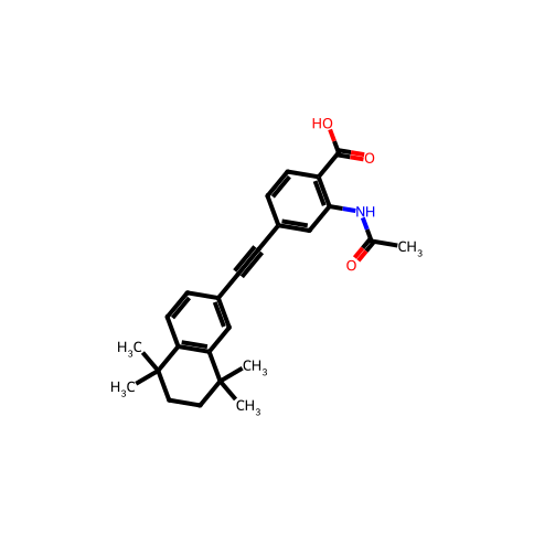 CC(=O)Nc1cc(C#Cc2ccc3c(c2)C(C)(C)CCC3(C)C)ccc1C(=O)O